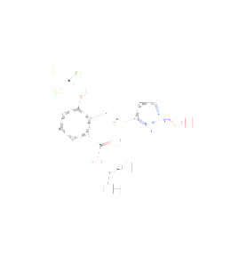 CC(C)OC(=O)c1cccc(OC(F)(F)F)c1COc1ccn(O)n1